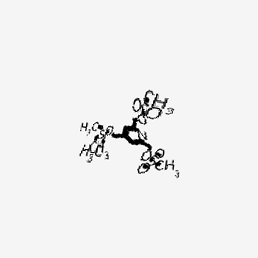 CC[Si](CC)(CC)OCc1cc(COS(C)(=O)=O)nc(COS(C)(=O)=O)c1